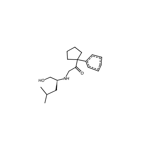 CC(C)C[C@@H](CO)NCC(=O)C1(c2ccccc2)CCCC1